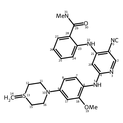 [C-]#[N+]c1cnc(Nc2ccc(N3CCS(=C)CC3)cc2OC)cc1Nc1ccccc1C(=O)NC